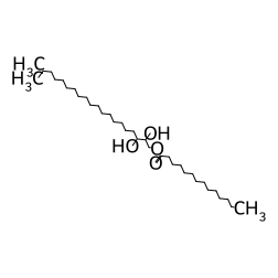 CCCCCCCCCCCCCC(=O)OCC(O)C(O)CCCCCCCCCCCCCCCC(C)C